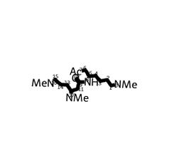 CNCCCCC(CC(C)=O)NC(=O)CC(CCCNC)NC